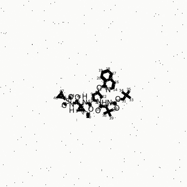 C=C[C@@H]1C[C@]1(NC(=O)[C@@H]1C[C@@H](Oc2nccc3ccccc23)CN1C(=O)C(NC(=O)OCC(C)(C)C)C(C)(C)C)C(=O)NS(=O)(=O)C1CC1